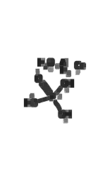 O.O=P(O)(O)O.[AlH3].[Ce]